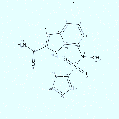 CN(c1cccc2cc(C(N)=O)[nH]c12)S(=O)(=O)c1nccs1